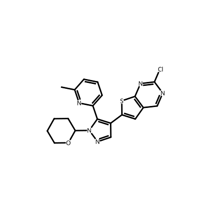 Cc1cccc(-c2c(-c3cc4cnc(Cl)nc4s3)cnn2C2CCCCO2)n1